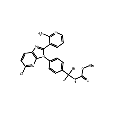 CCC(CC)(NC(=O)OC(C)(C)C)c1ccc(-n2c(-c3cccnc3N)nc3ccc(Cl)nc32)cc1